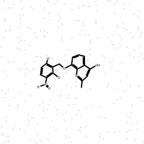 Cc1cc(O)c2cccc(OCc3c(Cl)ccc([N+](=O)[O-])c3Cl)c2n1